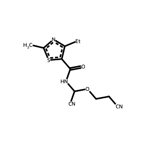 CCc1nc(C)sc1C(=O)NC(C#N)OCCC#N